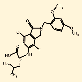 COc1ccc(CN2Cc3c(F)c(N[C@H](CC(C)C)C(=O)O)nc(Cl)c3C2=O)c(OC)c1